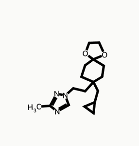 Cc1ncn(CCC2(CC3CC3)CCC3(CC2)OCCO3)n1